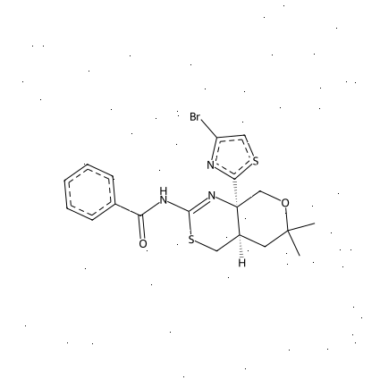 CC1(C)C[C@H]2CSC(NC(=O)c3ccccc3)=N[C@@]2(c2nc(Br)cs2)CO1